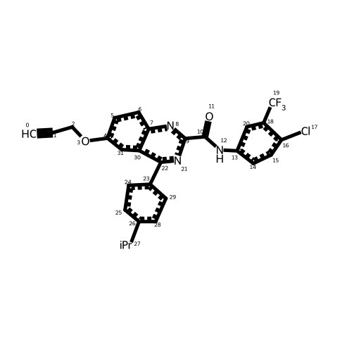 C#CCOc1ccc2nc(C(=O)Nc3ccc(Cl)c(C(F)(F)F)c3)nc(-c3ccc(C(C)C)cc3)c2c1